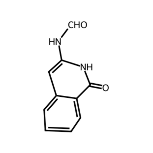 O=CNc1cc2ccccc2c(=O)[nH]1